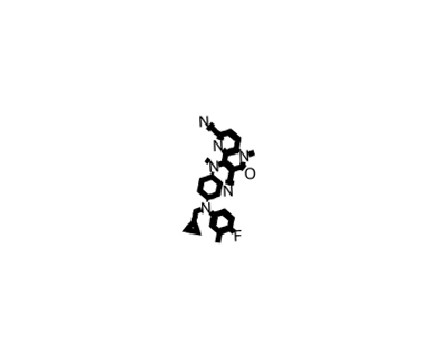 Cc1cc(N(CC2CC2)[C@H]2CC[C@H](N(C)c3c(C#N)c(=O)n(C)c4ccc(C#N)nc34)CC2)ccc1F